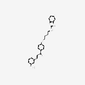 Cc1cccc(/C=C/C(=O)c2ccc(OCCCC=[SH]c3nc4ccccc4o3)cc2)c1